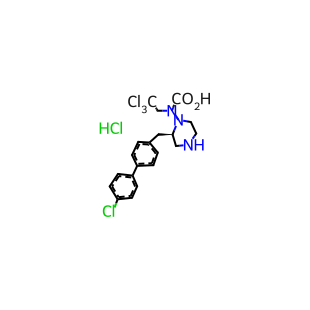 Cl.O=C(O)N(CC(Cl)(Cl)Cl)N1CCNC[C@H]1Cc1ccc(-c2ccc(Cl)cc2)cc1